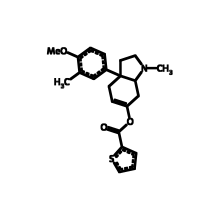 COc1ccc(C23CC=C(OC(=O)c4cccs4)CC2N(C)CC3)cc1C